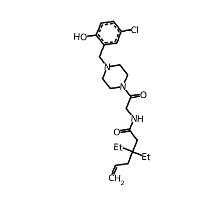 C=CCC(CC)(CC)CC(=O)NCC(=O)N1CCN(Cc2cc(Cl)ccc2O)CC1